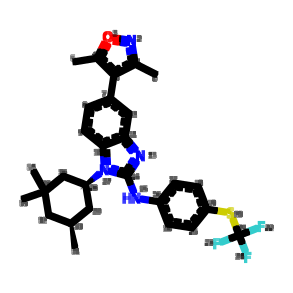 Cc1noc(C)c1-c1ccc2c(c1)nc(Nc1ccc(SC(F)(F)F)cc1)n2[C@H]1C[C@@H](C)CC(C)(C)C1